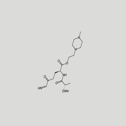 CO[C@@H](C)C(=O)N[C@@H](CCC(=O)C=N)C(=O)OCCN1CCN(C)CC1